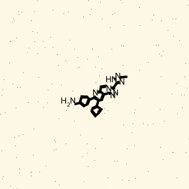 Cc1n[nH]c(-c2nnc3c4cc(-c5ccccc5)c(-c5ccc(CN)cc5)nc4ccn23)n1